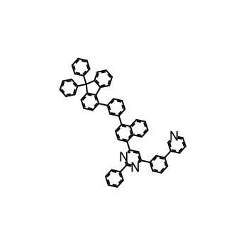 c1ccc(-c2nc(-c3cccc(-c4cccnc4)c3)cc(-c3ccc(-c4cccc(-c5cccc6c5-c5ccccc5C6(c5ccccc5)c5ccccc5)c4)c4ccccc34)n2)cc1